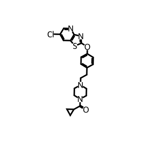 O=C(C1CC1)N1CCN(CCc2ccc(Oc3nc4ncc(Cl)cc4s3)cc2)CC1